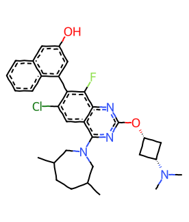 CC1CCC(C)CN(c2nc(O[C@H]3C[C@@H](N(C)C)C3)nc3c(F)c(-c4cc(O)cc5ccccc45)c(Cl)cc23)C1